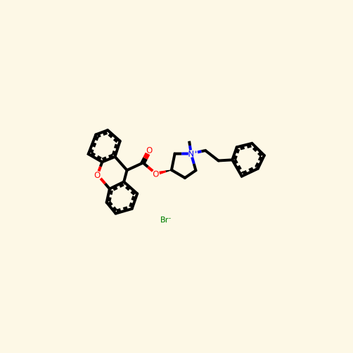 C[N+]1(CCc2ccccc2)CC[C@@H](OC(=O)C2c3ccccc3Oc3ccccc32)C1.[Br-]